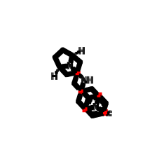 CC(=O)N1CCN(CCN2[C@@H]3CC[C@H]2C[C@@H](NCc2ccccc2)C3)CC1